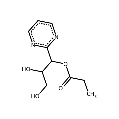 CCC(=O)OC(c1ncccn1)C(O)CO